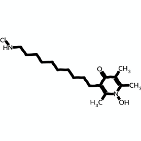 Cc1c(C)n(O)c(C)c(CCCCCCCCCCNCl)c1=O